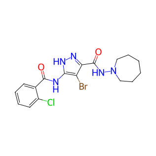 O=C(Nc1[nH]nc(C(=O)NN2CCCCCC2)c1Br)c1ccccc1Cl